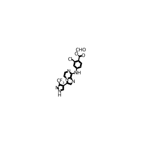 O=COC(=O)c1ccc(Nc2nccn3c(-c4c[nH]nc4C(F)(F)F)cnc23)cc1Cl